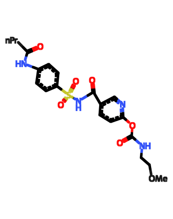 CCCC(=O)Nc1ccc(S(=O)(=O)NC(=O)c2ccc(OC(=O)NCCOC)nc2)cc1